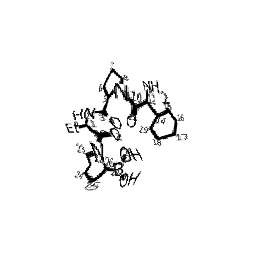 CCC(NC(=O)C1CCCN1C(=O)C(N)C1CCCCC1)C(=O)N1CCCC1B(O)O